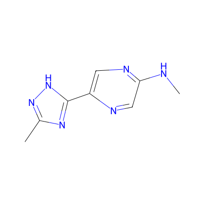 CNc1cnc(-c2nc(C)n[nH]2)cn1